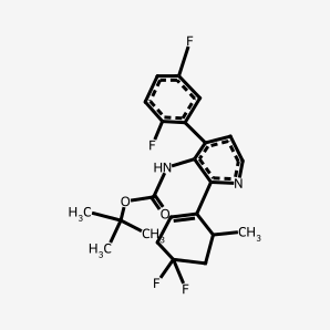 CC1CC(F)(F)CC=C1c1nccc(-c2cc(F)ccc2F)c1NC(=O)OC(C)(C)C